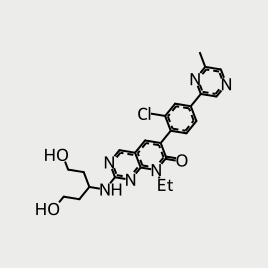 CCn1c(=O)c(-c2ccc(-c3cncc(C)n3)cc2Cl)cc2cnc(NC(CCO)CCO)nc21